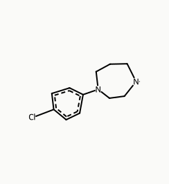 Clc1ccc(N2CCC[N]CC2)cc1